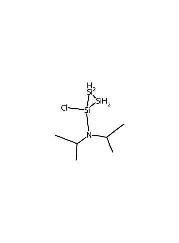 CC(C)N(C(C)C)[Si]1(Cl)[SiH2][SiH2]1